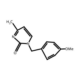 COc1ccc(Cn2ccc(C)nc2=O)cc1